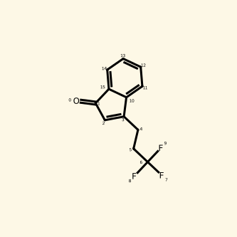 O=C1C=C(CCC(F)(F)F)c2ccccc21